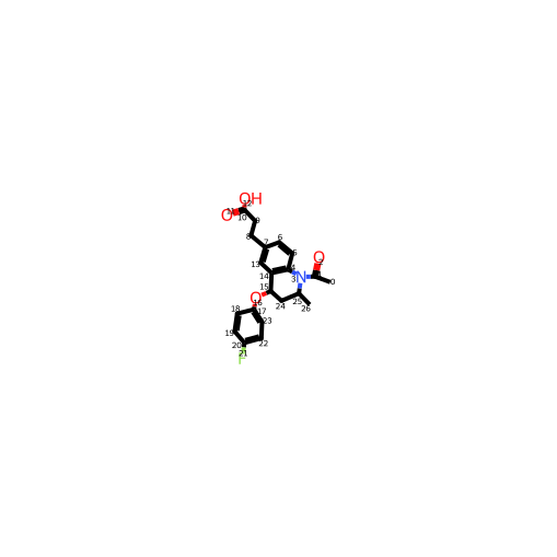 CC(=O)N1c2ccc(CCC(=O)O)cc2C(Oc2ccc(F)cc2)CC1C